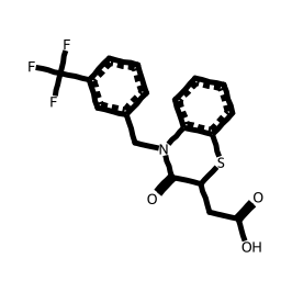 O=C(O)CC1Sc2ccccc2N(Cc2cccc(C(F)(F)F)c2)C1=O